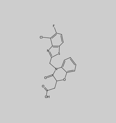 O=C(O)CC1Oc2ccccc2N(Cc2nc3c(Cl)c(F)ccc3s2)C1=O